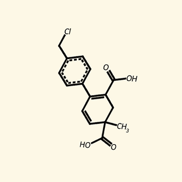 CC1(C(=O)O)C=CC(c2ccc(CCl)cc2)=C(C(=O)O)C1